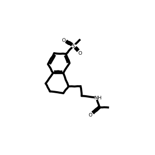 CC(=O)NCCC1CCCc2ccc(S(C)(=O)=O)cc21